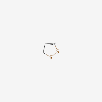 [C]1=CCSS1